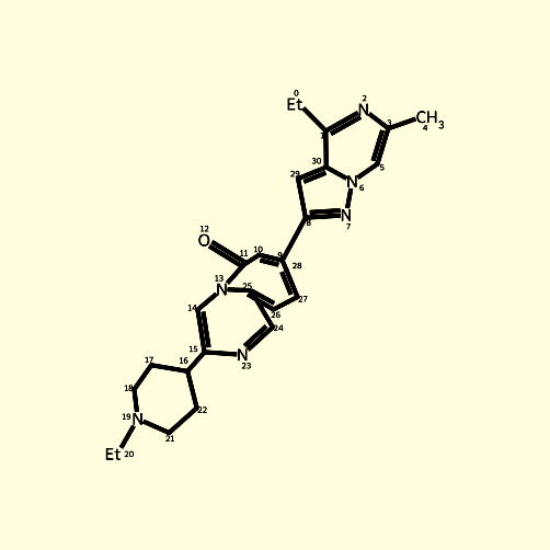 CCc1nc(C)cn2nc(C3=C\C(=O)N4C=C(C5CCN(CC)CC5)N=C\C4=C/C=C/3)cc12